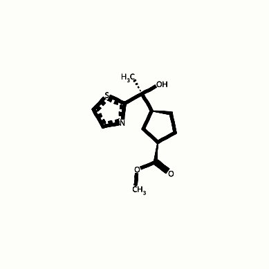 COC(=O)[C@@H]1CC[C@H]([C@](C)(O)c2nccs2)C1